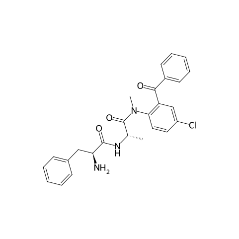 C[C@H](NC(=O)[C@@H](N)Cc1ccccc1)C(=O)N(C)c1ccc(Cl)cc1C(=O)c1ccccc1